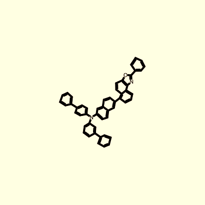 c1ccc(-c2ccc(N(c3cccc(-c4ccccc4)c3)c3ccc4cc(-c5cccc6c5ccc5oc(-c7ccccc7)nc56)ccc4c3)cc2)cc1